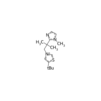 Cn1ccnc1C(C)(C)C[n+]1csc(C(C)(C)C)c1